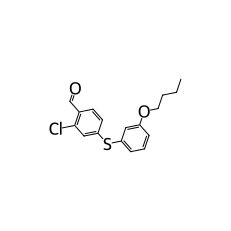 CCCCOc1cccc(Sc2ccc(C=O)c(Cl)c2)c1